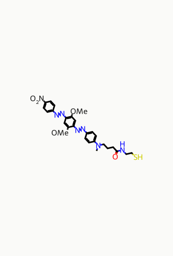 COc1cc(/N=N/c2ccc([N+](=O)[O-])cc2)c(OC)cc1/N=N/c1ccc(N(C)CCCC(=O)NCCS)cc1